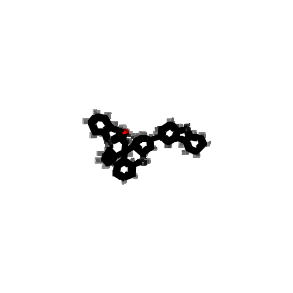 c1ccc2c(c1)Sc1cc(-c3ccc4sc5ccccc5c4c3)ccc1C21c2ccccc2-n2c3ccccc3c3cccc1c32